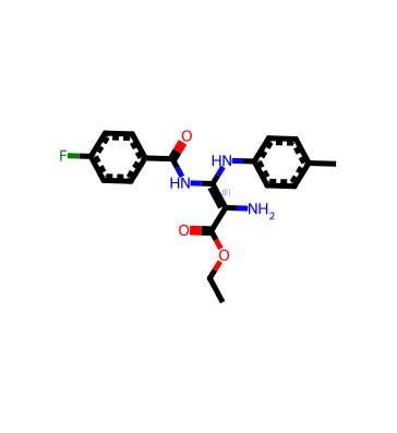 CCOC(=O)/C(N)=C(\NC(=O)c1ccc(F)cc1)Nc1ccc(C)cc1